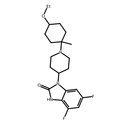 CCOC1CCC(C)(N2CCC(n3c(=O)[nH]c4c(F)cc(F)cc43)CC2)CC1